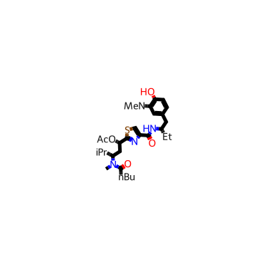 CCCCC(=O)N(C)C(CC(OC(C)=O)c1nc(C(=O)NC(CC)Cc2ccc(O)c(NC)c2)cs1)C(C)C